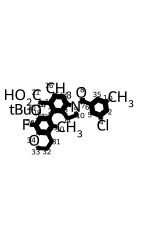 Cc1cc(Cl)cc(C(=O)N2CCc3c2cc(C)c([C@H](OC(C)(C)C)C(=O)O)c3-c2cc(F)c3c(c2C)CCCO3)c1